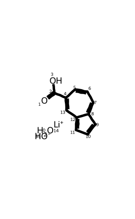 O.O=C(O)c1cccc2cccc-2c1.[Li+].[OH-]